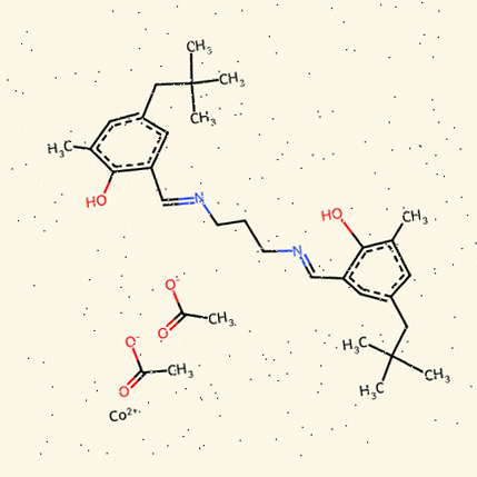 CC(=O)[O-].CC(=O)[O-].Cc1cc(CC(C)(C)C)cc(C=NCCCN=Cc2cc(CC(C)(C)C)cc(C)c2O)c1O.[Co+2]